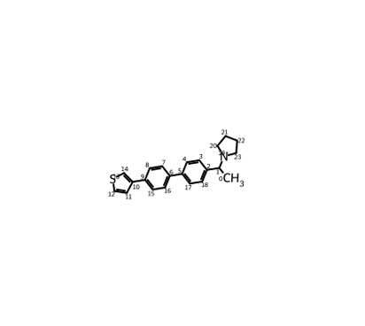 CC(c1ccc(-c2ccc(-c3ccsc3)cc2)cc1)N1CCCC1